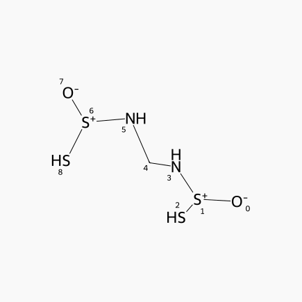 [O-][S+](S)NCN[S+]([O-])S